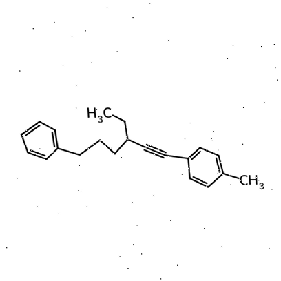 CCC(C#Cc1ccc(C)cc1)CCCc1ccccc1